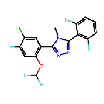 Cn1c(-c2cc(Cl)c(F)cc2OC(F)F)nnc1-c1c(F)cccc1F